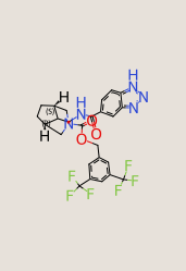 O=C(NCC1[C@@H]2CC[C@H]1CN(C(=O)OCc1cc(C(F)(F)F)cc(C(F)(F)F)c1)C2)c1ccc2[nH]nnc2c1